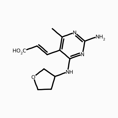 Cc1nc(N)nc(NC2CCOC2)c1C=CC(=O)O